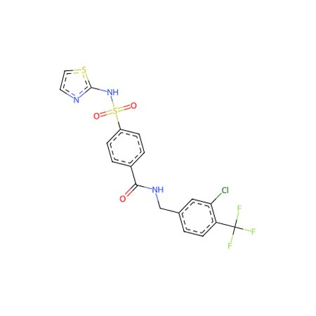 O=C(NCc1ccc(C(F)(F)F)c(Cl)c1)c1ccc(S(=O)(=O)Nc2nccs2)cc1